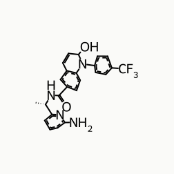 C[C@H](NC(=O)c1ccc2c(c1)C=CC(O)N2c1ccc(C(F)(F)F)cc1)c1cccc(N)n1